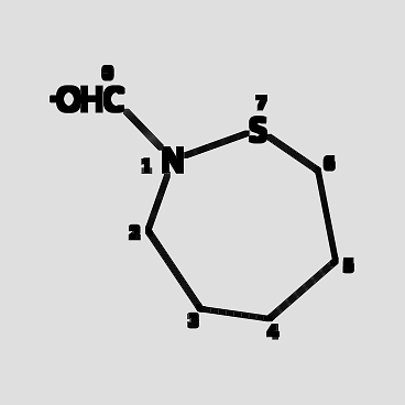 O=[C]N1CCCCCS1